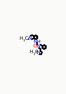 CCN1CCc2cccc(NCC(=O)N(CCC3CCCN3C)Cc3ccccc3)c2C1